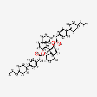 CCCC1CCC(c2ccc(CC(=O)Oc3ccc4c(c3-c3c(OC(=O)Cc5ccc(C6CCC(CCC)CC6)cc5)ccc5c3CCCC5)CCCC4)cc2)CC1